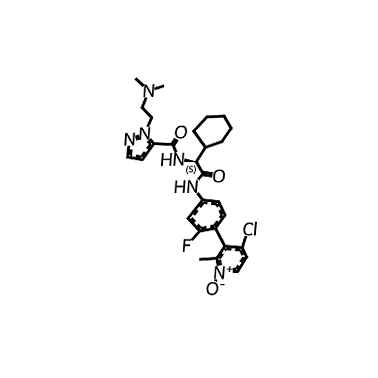 Cc1c(-c2ccc(NC(=O)[C@@H](NC(=O)c3ccnn3CCN(C)C)C3CCCCC3)cc2F)c(Cl)cc[n+]1[O-]